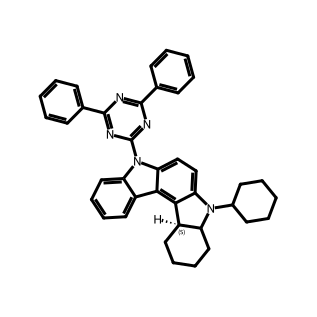 c1ccc(-c2nc(-c3ccccc3)nc(-n3c4ccccc4c4c5c(ccc43)N(C3CCCCC3)C3CCCC[C@@H]53)n2)cc1